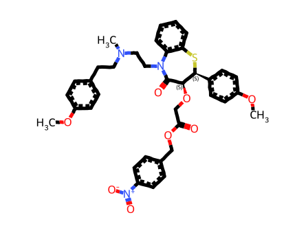 COc1ccc(CCN(C)CCN2C(=O)[C@H](OCC(=O)OCc3ccc([N+](=O)[O-])cc3)[C@H](c3ccc(OC)cc3)Sc3ccccc32)cc1